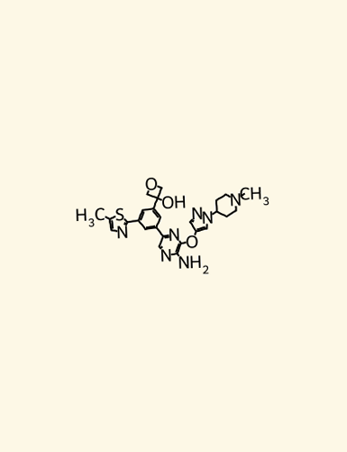 Cc1cnc(-c2cc(-c3cnc(N)c(Oc4cnn(C5CCN(C)CC5)c4)n3)cc(C3(O)COC3)c2)s1